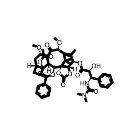 CO[C@H]1C(=O)C2[C@@H](OC)C[C@H]3CC[C@@]3(OC(C)=O)[C@H]2[C@H](OC(=O)c2ccccc2)[C@]23OC(=O)O[C@H]2[C@H](OC(=O)[C@H](O)[C@@H](NC(=O)N(C)C)c2ccccc2)C(C)=C1C3(C)C